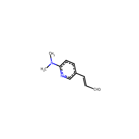 CN(C)c1ccc(C=CC=O)cn1